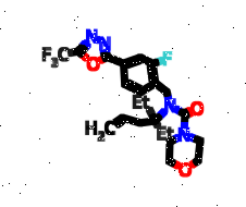 C=CCC(CC)(CC)N(Cc1ccc(-c2nnc(C(F)(F)F)o2)cc1F)C(=O)N1CCOCC1